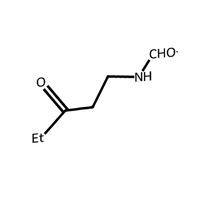 CCC(=O)CCN[C]=O